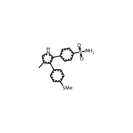 CSc1ccc(-c2c(C)c[nH]c2-c2ccc(S(N)(=O)=O)cc2)cc1